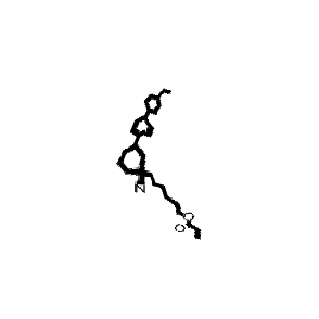 C=CC(=O)OCCCCCCC1(C#N)CCCC(c2ccc(-c3ccc(CC)cc3)cc2)C1